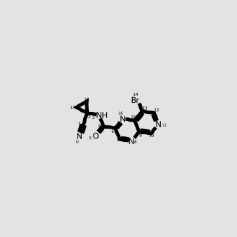 N#CC1(NC(=O)c2cnc3cncc(Br)c3n2)CC1